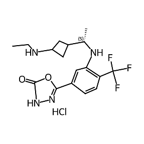 CCNC1CC([C@H](C)Nc2cc(-c3n[nH]c(=O)o3)ccc2C(F)(F)F)C1.Cl